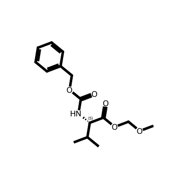 COCOC(=O)[C@@H](NC(=O)OCc1ccccc1)C(C)C